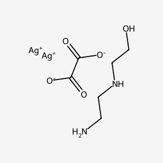 NCCNCCO.O=C([O-])C(=O)[O-].[Ag+].[Ag+]